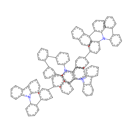 c1ccc(-c2ccccc2N(c2ccc(-c3ccc(-c4ccccc4-n4c5ccccc5c5ccccc54)cc3)cc2)c2cccc(-c3ccccc3-c3cccc(-c4ccc(-n5c6ccccc6c6ccccc65)c(-c5ccc(-c6ccc(N(c7ccccc7-c7ccccc7)c7ccccc7-c7cccc8ccccc78)cc6)cc5)c4)c3)c2)cc1